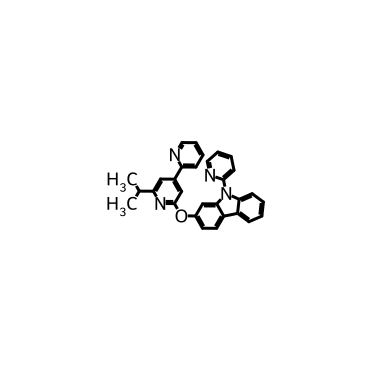 CC(C)c1cc(-c2ccccn2)cc(Oc2ccc3c4ccccc4n(-c4ccccn4)c3c2)n1